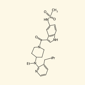 CCN(c1ncccc1CC(C)C)C1CCN(C(=O)c2c[nH]c3ccc(NS(C)(=O)=O)cc23)CC1